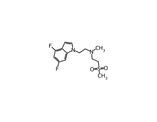 CN(CCn1ccc2c(F)cc(F)cc21)CCS(C)(=O)=O